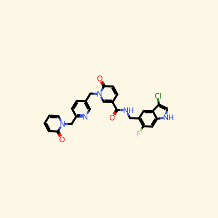 O=C(NCc1cc2c(Cl)c[nH]c2cc1F)c1ccc(=O)n(Cc2ccc(Cn3ccccc3=O)nc2)c1